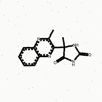 Cc1nc2ccccc2nc1C1(C)NC(=O)NC1=O